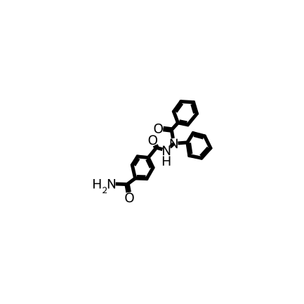 NC(=O)c1ccc(C(=O)NN(C(=O)c2ccccc2)c2ccccc2)cc1